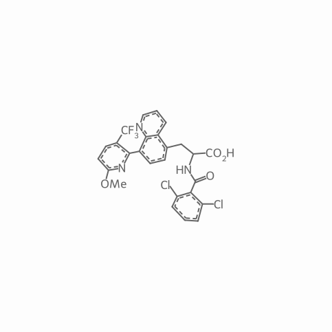 COc1ccc(C(F)(F)F)c(-c2ccc(CC(NC(=O)c3c(Cl)cccc3Cl)C(=O)O)c3cccnc23)n1